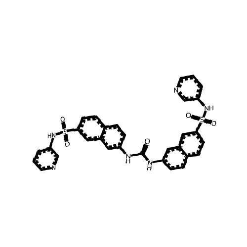 O=C(Nc1ccc2ccc(S(=O)(=O)Nc3cccnc3)cc2c1)Nc1ccc2ccc(S(=O)(=O)Nc3cccnc3)cc2c1